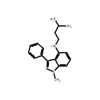 CC(C)CCNc1cccc2c1c(-c1ccccc1)nn2C